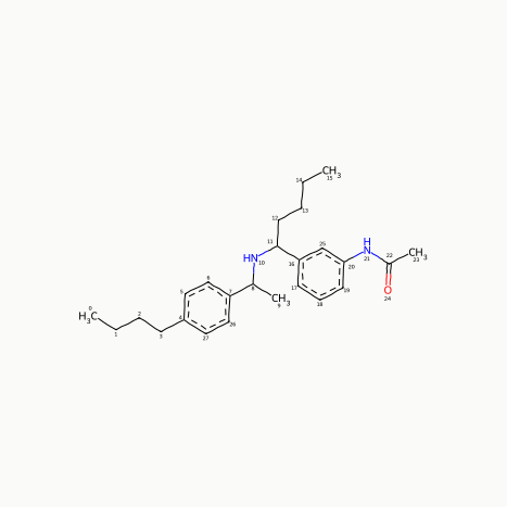 CCCCc1ccc(C(C)NC(CCCC)c2cccc(NC(C)=O)c2)cc1